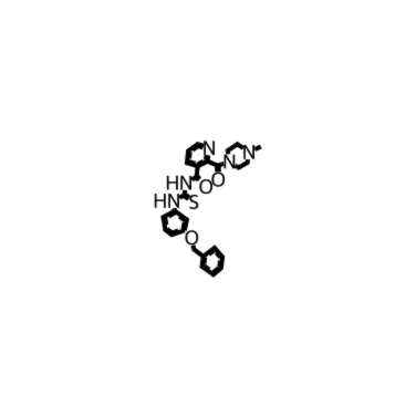 CN1CCN(C(=O)c2ncccc2C(=O)NC(=S)Nc2cccc(OCc3ccccc3)c2)CC1